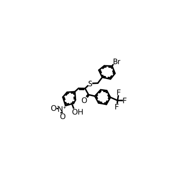 O=C(/C(=C\c1ccc([N+](=O)[O-])c(O)c1)SCc1ccc(Br)cc1)c1ccc(C(F)(F)F)cc1